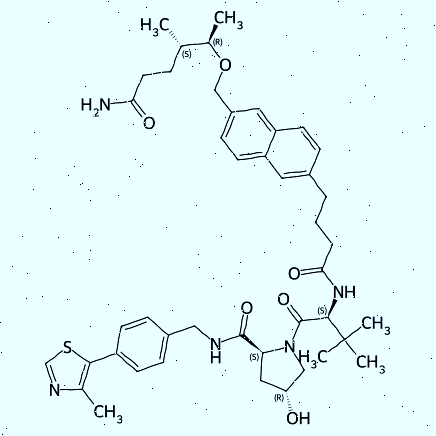 Cc1ncsc1-c1ccc(CNC(=O)[C@@H]2C[C@@H](O)CN2C(=O)[C@@H](NC(=O)CCCc2ccc3cc(CO[C@H](C)[C@@H](C)CCC(N)=O)ccc3c2)C(C)(C)C)cc1